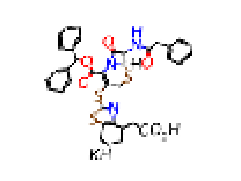 O=C(O)CC1CCCc2sc(SC3=C(C(=O)OC(c4ccccc4)c4ccccc4)N4C(=O)[C@@H](NC(=O)Cc5ccccc5)[C@H]4SC3)nc21.[KH]